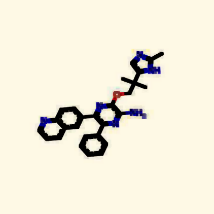 Cc1ncc(C(C)(C)COc2nc(-c3ccc4ncccc4c3)c(-c3ccccc3)nc2N)[nH]1